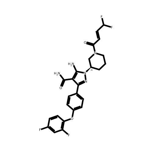 NC(=O)c1c(-c2ccc(Oc3ccc(F)cc3F)cc2)nn([C@@H]2CCCN(C(=O)C=CC(F)F)C2)c1N